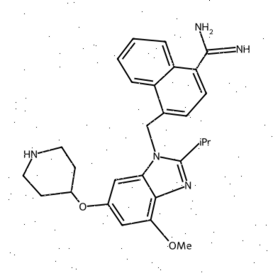 COc1cc(OC2CCNCC2)cc2c1nc(C(C)C)n2Cc1ccc(C(=N)N)c2ccccc12